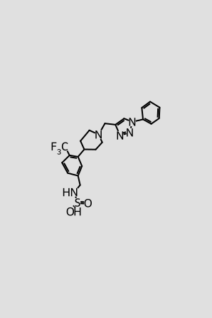 O=[SH](=O)NCc1ccc(C(F)(F)F)c(C2CCN(Cc3cn(-c4ccccc4)nn3)CC2)c1